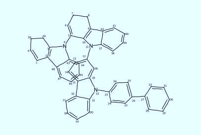 C1=Cc2c(n(C3=CCCc4c3n(-c3ccc5c6ccccc6n(-c6ccc(-c7ccccc7)cc6)c5c3)c3ccccc43)c3ccccc23)CC1